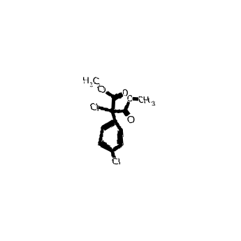 COC(=O)C(Cl)(C(=O)OC)c1ccc(Cl)cc1